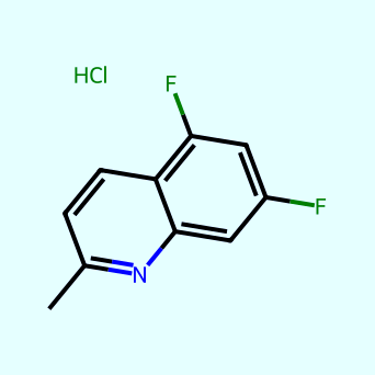 Cc1ccc2c(F)cc(F)cc2n1.Cl